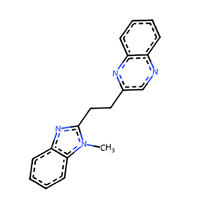 Cn1c(CCc2cnc3ccccc3n2)nc2ccccc21